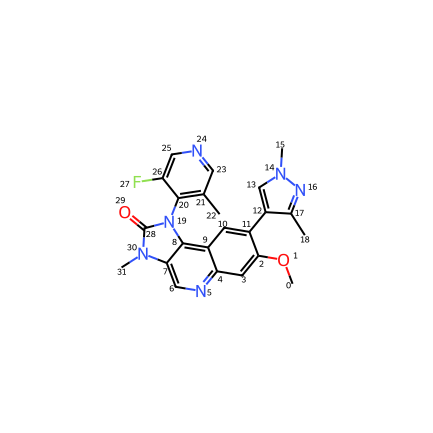 COc1cc2ncc3c(c2cc1-c1cn(C)nc1C)n(-c1c(C)cncc1F)c(=O)n3C